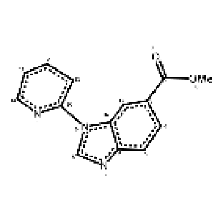 COC(=O)c1ccc2ncn(-c3ccccn3)c2c1